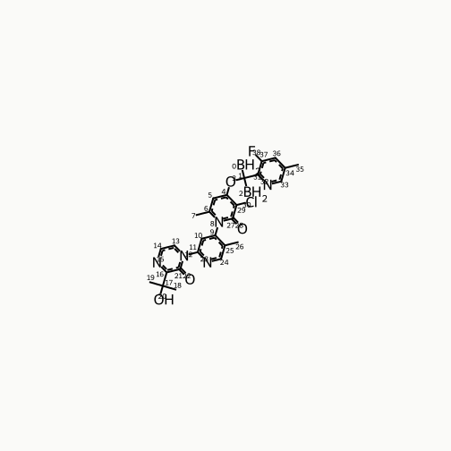 BC(B)(Oc1cc(C)n(-c2cc(-n3ccnc(C(C)(C)O)c3=O)ncc2C)c(=O)c1Cl)c1ncc(C)cc1F